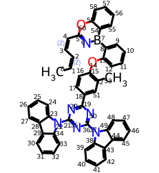 C/C=C\C=C/C1=NB(c2ccccc2Oc2ccc(-c3nc(-n4c5ccccc5c5ccccc54)nc(-n4c5ccccc5c5ccccc54)n3)cc2C)c2ccccc2O1